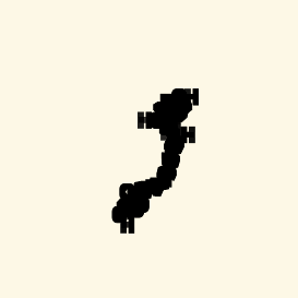 C=CCN1C(O)c2cnc(Nc3ccc(N4CCN(C5CCN(CC6CN(c7ccc8c(c7)C(=O)N(C7CCC(=O)NC7=O)C8=O)C6)CC5)CC4)cc3)nc2N1c1ccc2c(n1)[C@@](O)(CC)CC2